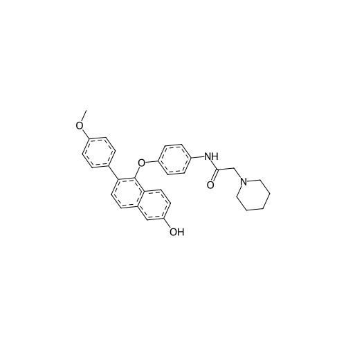 COc1ccc(-c2ccc3cc(O)ccc3c2Oc2ccc(NC(=O)CN3CCCCC3)cc2)cc1